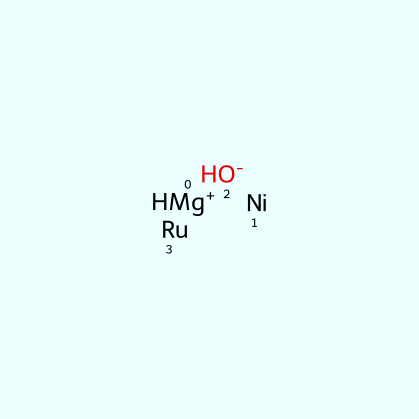 [MgH+].[Ni].[OH-].[Ru]